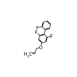 C=CCOc1cc(F)c(-c2cc[c]cc2F)c(F)c1